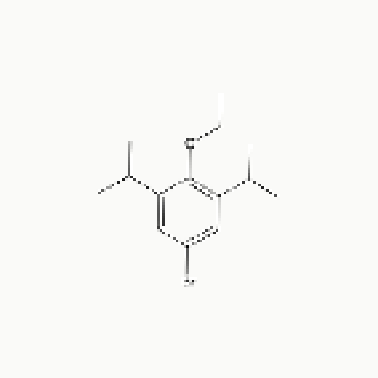 CCOc1c(C(C)C)cc(Br)cc1C(C)C